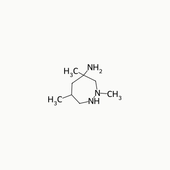 CC1CNN(C)CC(C)(N)C1